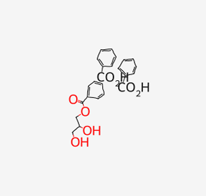 O=C(O)c1ccccc1.O=C(O)c1ccccc1.O=C(OCC(O)CO)c1ccccc1